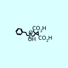 O=C(O)CC1(CP(=O)(O)CCc2ccccc2)CC1C(=O)O